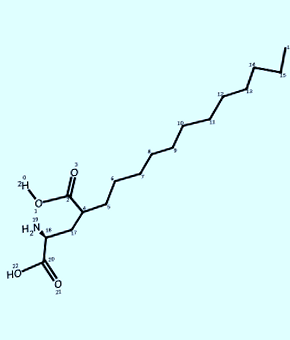 [2H]OC(=O)C(CCCCCCCCCCCC)C[C@H](N)C(=O)O